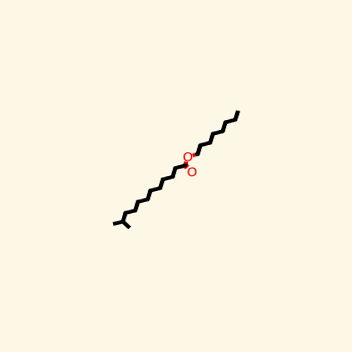 CCCCCCCCOC(=O)CCCCCCCCCC(C)C